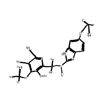 [2H]c1nc(C([2H])([2H])[S+]([O-])c2nc3ccc(OC([2H])(F)F)cc3[nH]2)c(OC)c(OC([2H])([2H])[2H])c1[2H]